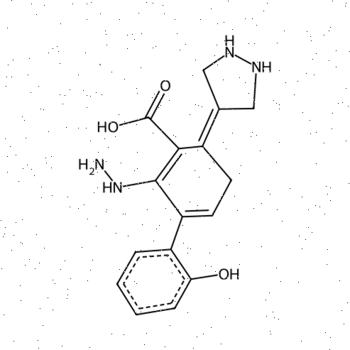 NNC1=C(C(=O)O)C(=C2CNNC2)CC=C1c1ccccc1O